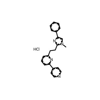 Cl.Cn1cc(-c2ccccc2)nc1CCc1cccc(-c2ccncc2)n1